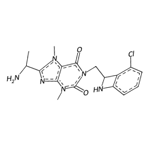 CC(N)c1nc2c(c(=O)n(CC3Nc4cccc(Cl)c43)c(=O)n2C)n1C